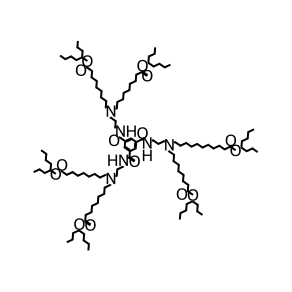 CCCCC(CCC)OC(=O)CCCCCCCCCCN(CCCCCCCCC(=O)OC(CCC)CCCC)CCCNC(=O)c1cc(C(=O)NCCCN(CCCCCCCCC(=O)OC(CCC)CCCC)CCCCCCCCC(=O)OC(CCC)CCCC)cc(C(=O)NCCCN(CCCCCCCCC(=O)OC(CCC)CCCC)CCCCCCCCC(=O)OC(CCC)CCCC)c1